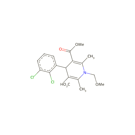 COCN1C(C)=C(C(=O)O)C(c2cccc(Cl)c2Cl)C(C(=O)OC)=C1C